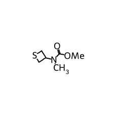 COC(=O)N(C)C1CSC1